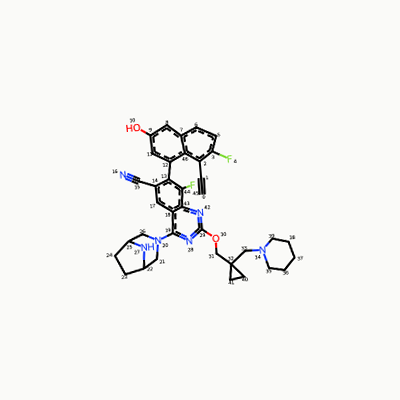 C#Cc1c(F)ccc2cc(O)cc(-c3c(C#N)cc4c(N5CC6CCC(C5)N6)nc(OCC5(CN6CCCCC6)CC5)nc4c3F)c12